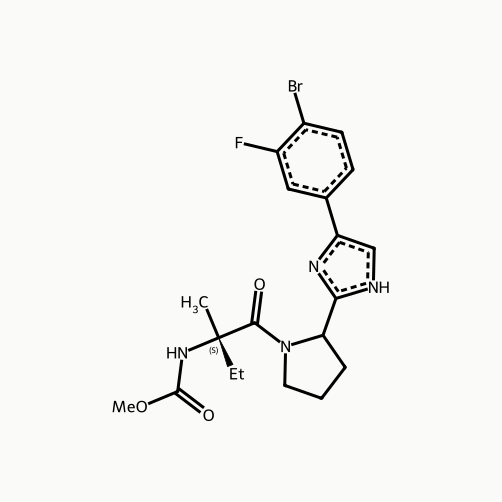 CC[C@](C)(NC(=O)OC)C(=O)N1CCCC1c1nc(-c2ccc(Br)c(F)c2)c[nH]1